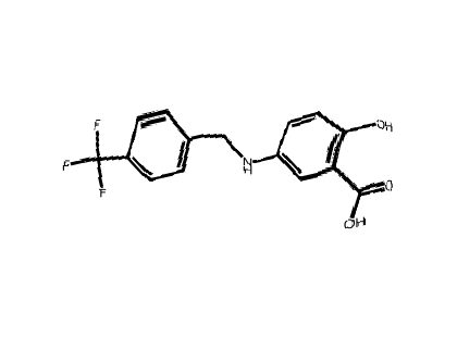 O=C(O)c1cc(NCc2ccc(C(F)(F)F)cc2)ccc1O